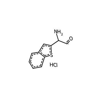 Cl.NC([C]=O)c1cc2ccccc2s1